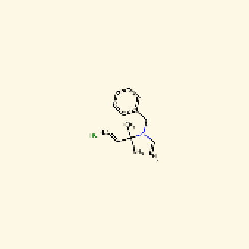 C=CN(Cc1ccccc1)C(C)(C)C=C.Cl